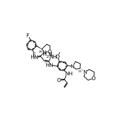 C=CC(=O)Nc1cc(N/C(=C/C(=N)N2OCC[C@@H]2c2cc(F)ccc2F)NN)c(OC)cc1N1CC[C@H](N2CCOCC2)C1